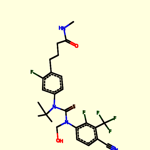 CNC(=O)CCCc1ccc(N(C(=S)N(CO)c2ccc(C#N)c(C(F)(F)F)c2F)C(C)(C)C)cc1F